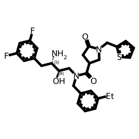 CCc1cccc(CN(C[C@@H](O)[C@@H](N)Cc2cc(F)cc(F)c2)C(=O)C2CC(=O)N(Cc3cccs3)C2)c1